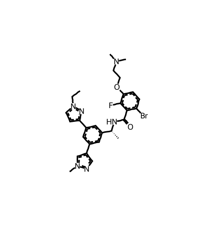 CCn1ccc(-c2cc(-c3cnn(C)c3)cc([C@@H](C)NC(=O)c3c(Br)ccc(OCCN(C)C)c3F)c2)n1